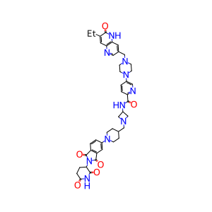 CCc1cc2ncc(CN3CCN(c4ccc(C(=O)NC5CN(CC6CCN(c7ccc8c(c7)C(=O)N(C7CCC(=O)NC7=O)C8=O)CC6)C5)nc4)CC3)cc2[nH]c1=O